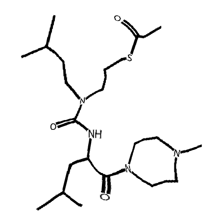 CC(=O)SCCN(CCC(C)C)C(=O)NC(CC(C)C)C(=O)N1CCN(C)CC1